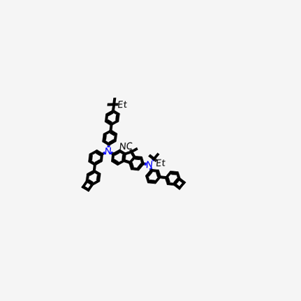 CCC(C)(C)c1ccc(-c2ccc(N(c3cccc(-c4ccc5c(c4)CC5)c3)c3ccc4c(c3)C(C)(C#N)c3cc(N(c5cccc(-c6ccc7c(c6)CC7)c5)C(C)(C)CC)ccc3-4)cc2)cc1